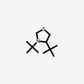 CC(C)(C)C1CSCN1C(C)(C)C